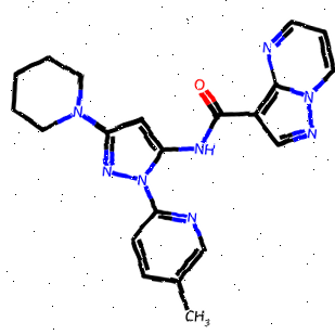 Cc1ccc(-n2nc(N3CCCCC3)cc2NC(=O)c2cnn3cccnc23)nc1